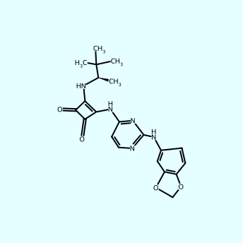 C[C@@H](Nc1c(Nc2ccnc(Nc3ccc4c(c3)OCO4)n2)c(=O)c1=O)C(C)(C)C